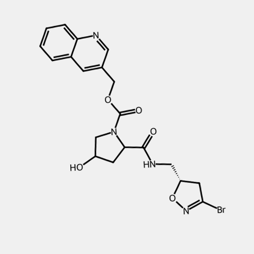 O=C(NC[C@@H]1CC(Br)=NO1)C1CC(O)CN1C(=O)OCc1cnc2ccccc2c1